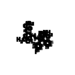 CC(C)n1c(CC[C@@H]2C[C@H](CC(=O)OC(C)(C)C)OC(C)(C)O2)c(-c2ccc(F)cc2)c(-c2ccccc2)c1C(N)=O